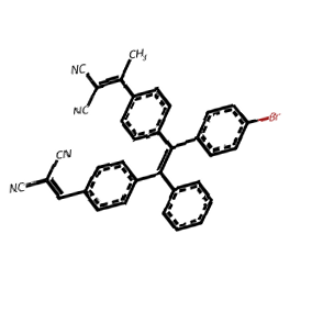 CC(=C(C#N)C#N)c1ccc(C(=C(c2ccccc2)c2ccc(C=C(C#N)C#N)cc2)c2ccc(Br)cc2)cc1